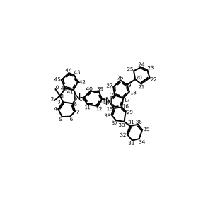 CC1(C)C2=CCCC=C2N(c2ccc(-n3c4c(c5cc(C6C=CC=CC6)ccc53)=CC(C3=CCCC=C3)CC=4)cc2)c2ccccc21